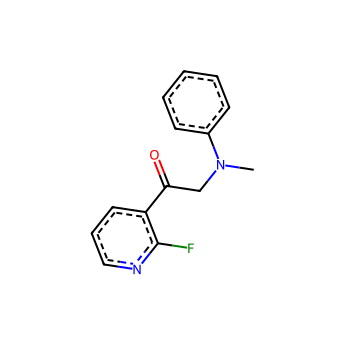 CN(CC(=O)c1cccnc1F)c1ccccc1